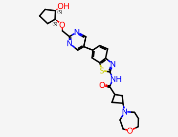 O=C(Nc1nc2ccc(-c3cnc(CO[C@H]4CCC[C@@H]4O)nc3)cc2s1)C1CC(N2CCCOCC2)C1